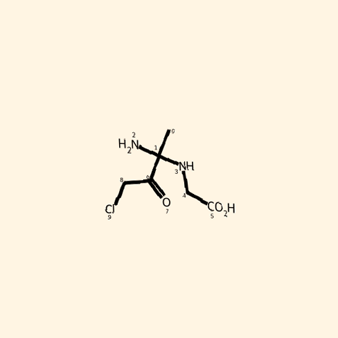 CC(N)(NCC(=O)O)C(=O)CCl